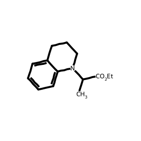 CCOC(=O)C(C)N1CCCc2ccccc21